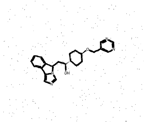 OC(CC1c2ccccc2-c2cncn21)[C@H]1CC[C@H](OCc2cncnc2)CC1